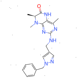 Cc1nc(NCc2cnn(Cc3ccccc3)c2)nc2c1NC(=O)[C@H](C)N2C